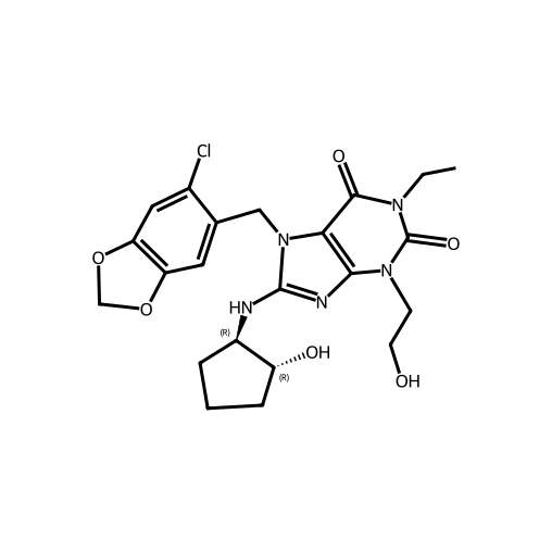 CCn1c(=O)c2c(nc(N[C@@H]3CCC[C@H]3O)n2Cc2cc3c(cc2Cl)OCO3)n(CCO)c1=O